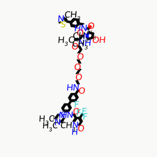 Cc1ncsc1-c1ccc(CNC(=O)[C@@H]2C[C@@H](O)CN2C(=O)C(NC(=O)CCOCCOCCOCCNC(=O)c2ccc(-c3ccc(N4C[C@@H](C)N(C)[C@@H](C)C4)c(NC(=O)c4c[nH]c(=O)cc4C(F)(F)F)c3)c(F)c2)C(C)(C)C)cc1